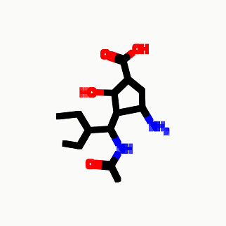 CCC(CC)C(NC(C)=O)C1C(N)CC(C(=O)O)C1O